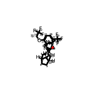 Cc1nnc(N2C[C@H]3CC[C@@H](C2)[C@@H]3Nc2nc3c(O[C@H](C)C(F)(F)F)ccc(C(F)(F)F)n3n2)o1